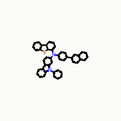 C1=CC2c3ccccc3SC2C(N(c2ccc(-c3ccc4ccccc4c3)cc2)c2ccc3c4ccccc4n(-c4ccccc4)c3c2)=C1